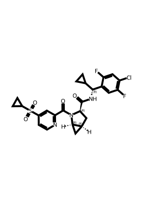 O=C(N[C@@H](c1cc(F)c(Cl)cc1F)C1CC1)[C@H]1C[C@H]2C[C@H]2N1C(=O)c1cc(S(=O)(=O)C2CC2)ccn1